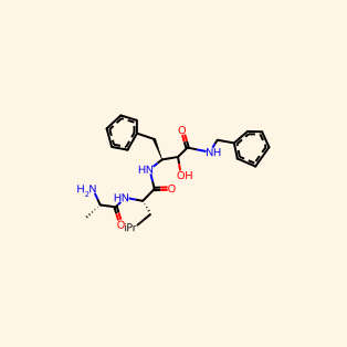 CC(C)C[C@H](NC(=O)[C@H](C)N)C(=O)N[C@@H](Cc1ccccc1)C(O)C(=O)NCc1ccccc1